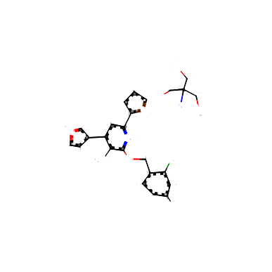 N#Cc1c(-c2ccoc2)cc(-c2cccs2)nc1OCc1ccc(C(=O)O)cc1Br.NC(CO)(CO)CO